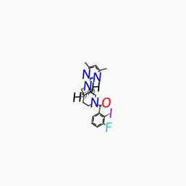 Cc1cc(C)nc(N2C[C@@H]3CCN(C(=O)c4cccc(F)c4I)C[C@@H]32)n1